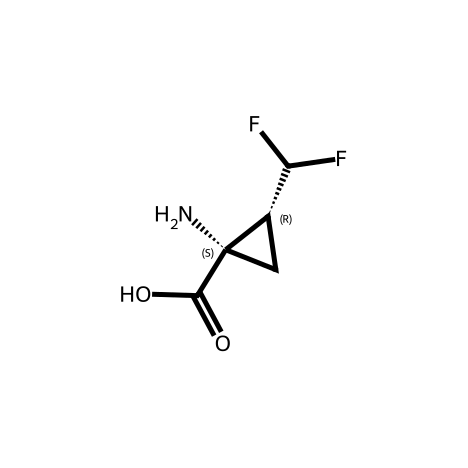 N[C@@]1(C(=O)O)C[C@H]1C(F)F